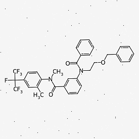 Cc1cc(C(F)(C(F)(F)F)C(F)(F)F)ccc1N(C)C(=O)c1cccc(N(CCOCc2ccccc2)C(=O)c2ccccc2)c1